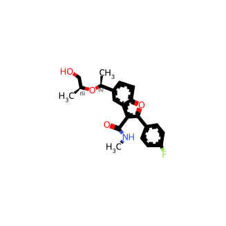 CNC(=O)c1c(-c2ccc(F)cc2)oc2ccc([C@H](C)O[C@@H](C)CO)cc12